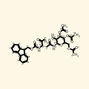 CC(=O)OCC1O[C@@H](NC(=O)C[C@H](NC(=O)OCC2c3ccccc3-c3ccccc32)C(C)=O)C(N)[C@@H](OC(C)=O)[C@@H]1OC(C)=O